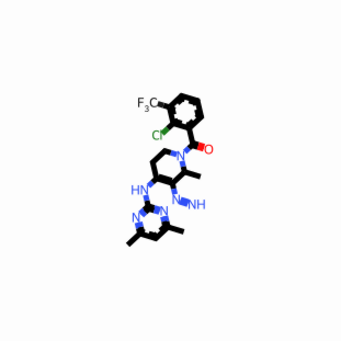 Cc1cc(C)nc(NC2=C(N=N)C(C)N(C(=O)c3cccc(C(F)(F)F)c3Cl)CC2)n1